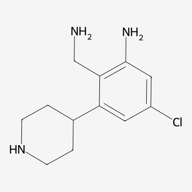 NCc1c(N)cc(Cl)cc1C1CCNCC1